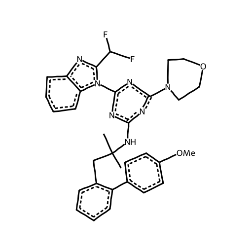 COc1ccc(-c2ccccc2CC(C)(C)Nc2nc(N3CCOCC3)nc(-n3c(C(F)F)nc4ccccc43)n2)cc1